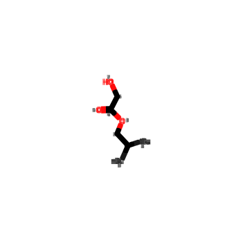 CCCCC(COC(=O)CO)C(C)(C)C